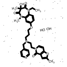 CCN1C(=O)C(C)(C)C(=O)N(C)c2cc(OCCCN(CCn3ccc4oc(C)cc4c3=O)Cc3ccncc3)ccc21.Cl.Cl